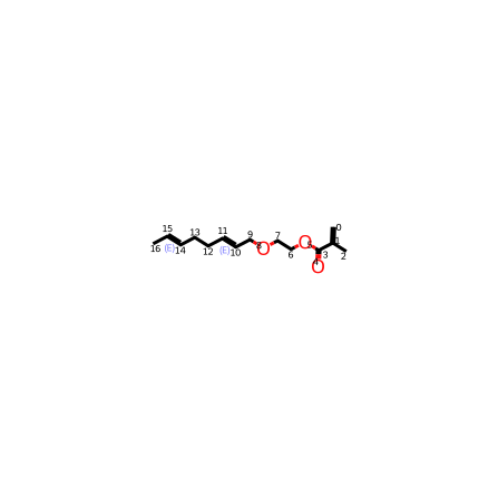 C=C(C)C(=O)OCCOC/C=C/CC/C=C/C